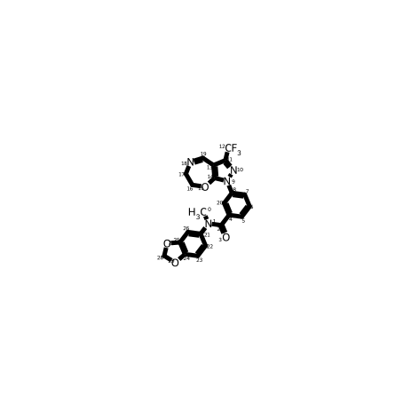 CN(C(=O)c1cccc(-n2nc(C(F)(F)F)c3c2OCCN=C3)c1)c1ccc2c(c1)OCO2